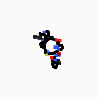 CCn1c(-c2cccnc2[C@H](C)OC)c2c3cc(ccc31)-c1csc(n1)C[C@H](NC(=O)N1C[C@@H]3CCCC[C@@H]31)C(=O)N1CCC[C@H](N1)C(=O)OCC(C)(C)C2